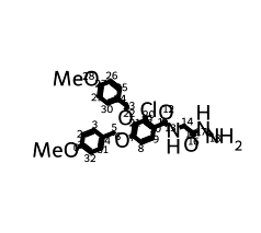 COc1ccc(COc2ccc(C(=O)NCC(=O)NN)c(Cl)c2OCc2ccc(OC)cc2)cc1